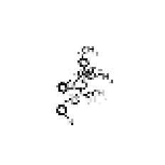 CC[C@H](C)[C@@H](C(=O)N[C@@H](Cc1ccccc1)[C@H](O)CN(CC(C)C)S(=O)(=O)c1ccc(OC)cc1)N1CCN(Cc2cccc(C#N)c2)C1=O